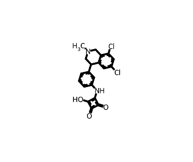 CN1Cc2c(Cl)cc(Cl)cc2C(c2cccc(Nc3c(O)c(=O)c3=O)c2)C1